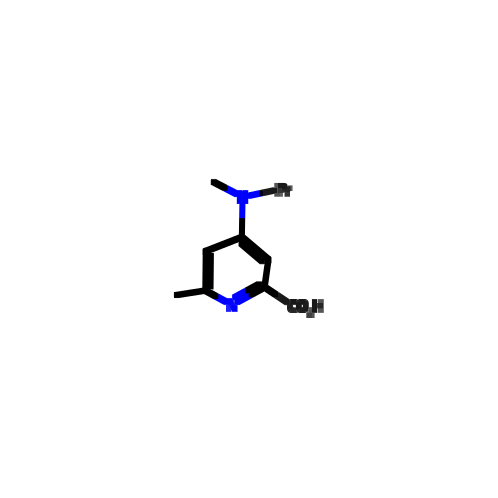 Cc1cc(N(C)C(C)C)cc(C(=O)O)n1